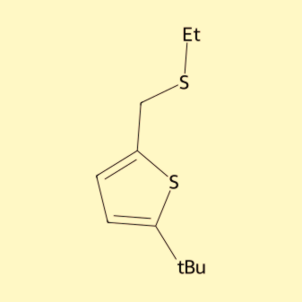 CCSCc1ccc(C(C)(C)C)s1